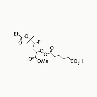 CCC(=O)OC(C)(C)C(F)CC(OOC(=O)CCCCC(=O)O)C(=O)OC